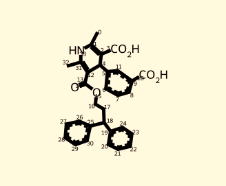 CC1=C(C(=O)O)C(c2cccc(C(=O)O)c2)C(C(=O)OCCC(c2ccccc2)c2ccccc2)=C(C)N1